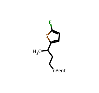 CCCCCCCC(C)c1ccc(F)s1